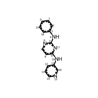 c1ccc(Nc2nccc(Nc3cccnc3)n2)cc1